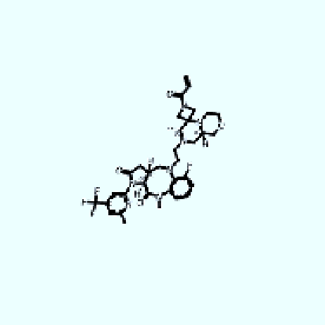 C=CC(=O)N1CC2(C1)[C@@H](C)N(CCN1C[C@H]3CC(=O)N(c4cc(C(F)(F)F)cc(C)n4)[C@@H]3C(=O)N(C)c3cccc(F)c31)C[C@H]1COCCN12